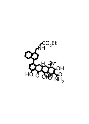 CCOC(=O)CNCc1ccc(-c2ccc(O)c3c2C[C@@H]2C[C@@H]4[C@H](N(C)C)C(O)=C(C(N)=O)C(=O)[C@]4(O)C(O)=C2C3=O)c2ccccc12